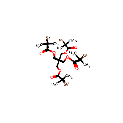 CC(C)(S)C(=O)OCC(COC(=O)C(C)(C)S)(COC(=O)C(C)(C)S)COC(=O)C(C)(C)S